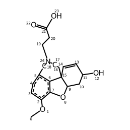 COc1ccc2c3c1OC1CC(O)C=CC31CCN(CCC(=O)O)C2